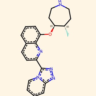 F[C@H]1CCNCC[C@@H]1Oc1cccc2ccc(-c3nnc4ccccn34)nc12